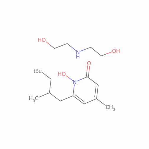 Cc1cc(CC(C)CC(C)(C)C)n(O)c(=O)c1.OCCNCCO